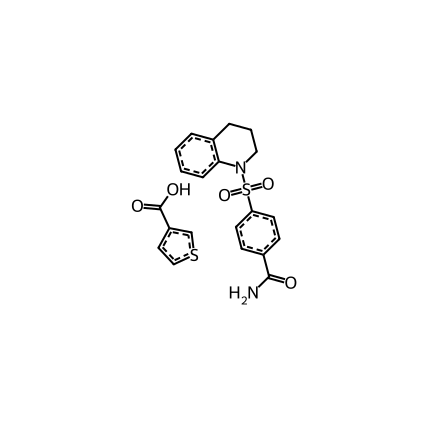 NC(=O)c1ccc(S(=O)(=O)N2CCCc3ccccc32)cc1.O=C(O)c1ccsc1